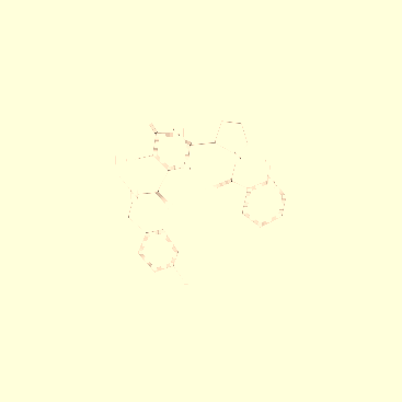 CN(Cc1ccc(F)cc1)C(=O)c1nc(C2CCCN2C(=O)c2cccc[n+]2[O-])[nH]c(=O)c1O